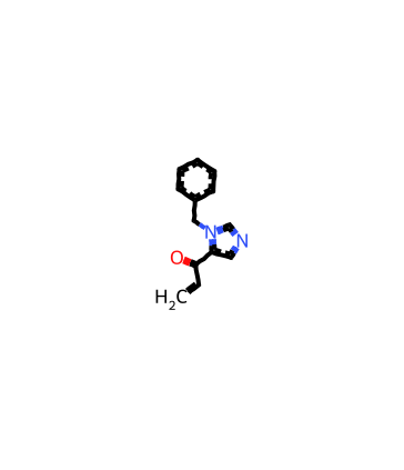 C=CC(=O)c1cncn1Cc1ccccc1